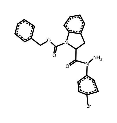 NN(C(=O)C1Cc2ccccc2N1C(=O)OCc1ccccc1)c1ccc(Br)cc1